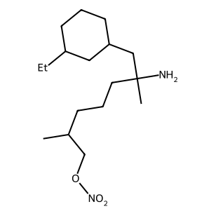 CCC1CCCC(CC(C)(N)CCCC(C)CO[N+](=O)[O-])C1